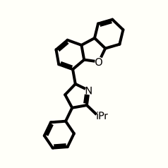 CC(C)C1=NC(C2=CC=CC3C2OC2CCC=CC23)CC1C1C=CC=CC1